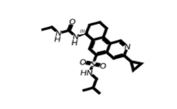 CCNC(=O)N[C@H]1CCCc2c1cc(S(=O)(=O)NCC(C)C)c1cc(C3CC3)ncc21